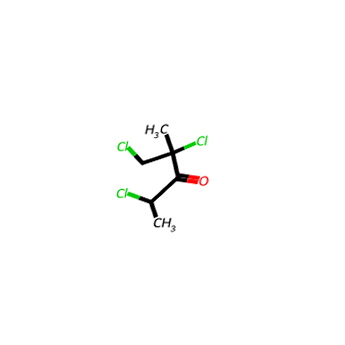 CC(Cl)C(=O)C(C)(Cl)CCl